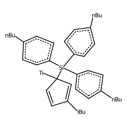 CCCCc1ccc([Si](c2ccc(CCCC)cc2)(c2ccc(CCCC)cc2)[C]2([Ti])C=CC(C(C)CC)=C2)cc1